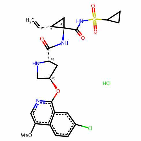 C=C[C@@H]1C[C@]1(NC(=O)[C@@H]1C[C@@H](Oc2ncc(OC)c3ccc(Cl)cc23)CN1)C(=O)NS(=O)(=O)C1CC1.Cl